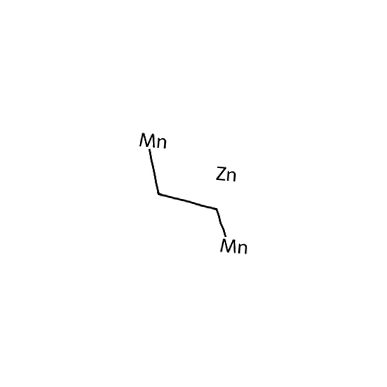 [Mn][CH2][CH2][Mn].[Zn]